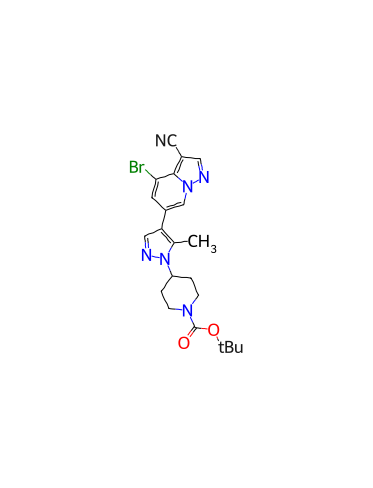 Cc1c(-c2cc(Br)c3c(C#N)cnn3c2)cnn1C1CCN(C(=O)OC(C)(C)C)CC1